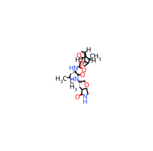 CC(C)C[C@H](NC(=O)C[C@H]1C2CO[C@H]3OC[C@@H]1C3[C@H]2C)C(=O)N[C@H](C=O)CC1CCNC1=O